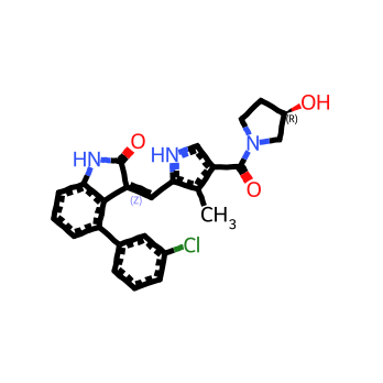 Cc1c(C(=O)N2CC[C@@H](O)C2)c[nH]c1/C=C1\C(=O)Nc2cccc(-c3cccc(Cl)c3)c21